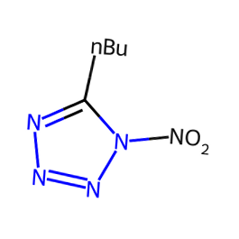 CCCCc1nnnn1[N+](=O)[O-]